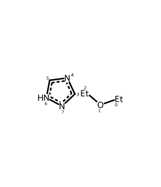 CCOCC.c1nc[nH]n1